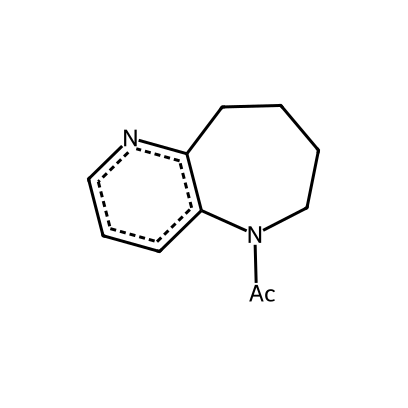 CC(=O)N1CCCCc2ncccc21